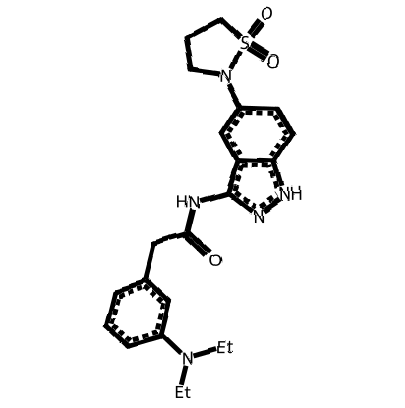 CCN(CC)c1cccc(CC(=O)Nc2n[nH]c3ccc(N4CCCS4(=O)=O)cc23)c1